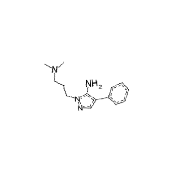 CN(C)CCCn1ncc(-c2ccccc2)c1N